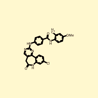 COc1ccc(NC(=O)c2ccc(Nc3ncc4c(n3)-c3ccc(Cl)cc3NC(=O)C4)cc2)c(C)c1